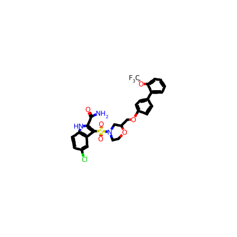 NC(=O)c1[nH]c2ccc(Cl)cc2c1S(=O)(=O)N1CCOC(COc2ccc(-c3ccccc3OC(F)(F)F)cc2)C1